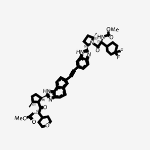 COC(=O)C[C@H](C(=O)C1[C@@H](C)CC[C@H]1c1nc2ccc3cc(C#Cc4ccc5nc([C@@H]6CC[C@H](C)N6C(=O)[C@@H](NC(=O)OC)C6CCC(F)(F)CC6)[nH]c5c4)ccc3c2[nH]1)C1CCOCC1